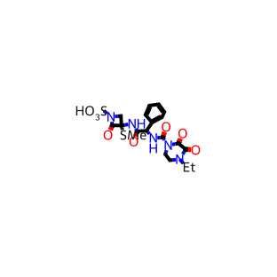 CCN1CCN(C(=O)NC(C(=O)NC2(SC)CN(S(=O)(=O)O)C2=O)c2ccccc2)C(=O)C1=O